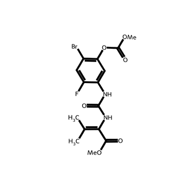 COC(=O)Oc1cc(NC(=O)NC(C(=O)OC)=C(C)C)c(F)cc1Br